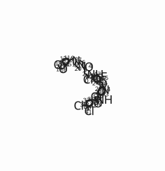 CC(CC(=O)N1CCN(Cc2ccc3c(c2)OCO3)CC1)Nc1ccc(Oc2ccc(NS(=O)(=O)c3ccc(Cl)c(Cl)c3)cn2)c(F)c1